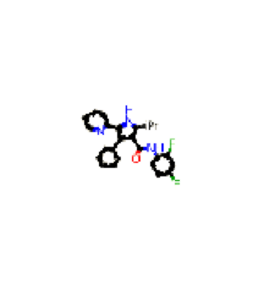 CC(C)c1[nH]c(-c2ccccn2)c(-c2ccccc2)c1C(=O)Nc1ccc(F)cc1F